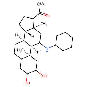 COC(=O)C1CC[C@H]2[C@@H]3CCC4CC(O)C(O)C[C@]4(C)[C@@H]3C(NC3CCCCC3)C[C@]12C